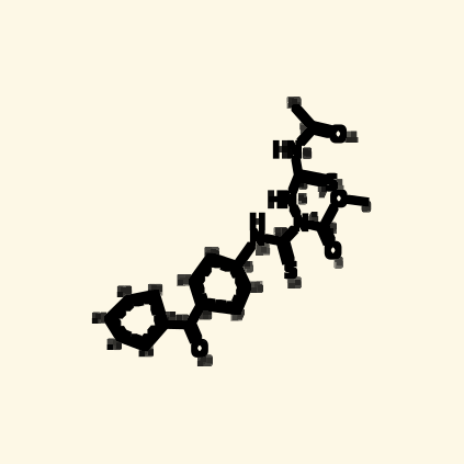 COC(=O)N(NC(=S)NC(C)=O)C(=S)Nc1ccc(C(=O)c2ccccc2)cc1